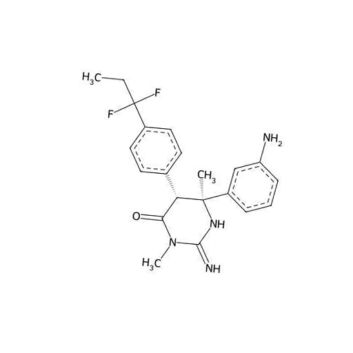 CCC(F)(F)c1ccc([C@H]2C(=O)N(C)C(=N)N[C@]2(C)c2cccc(N)c2)cc1